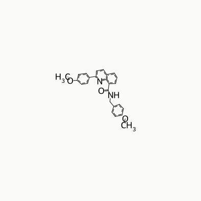 COc1ccc(CNC(=O)c2cccc3ccc(-c4ccc(OC)cc4)nc23)cc1